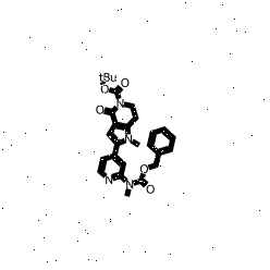 CN(C(=O)OCc1ccccc1)c1cc(-c2cc3c(n2C)CCN(C(=O)OC(C)(C)C)C3=O)ccn1